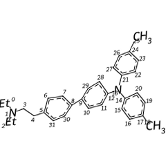 CCN(CC)CCc1ccc(-c2ccc(N(c3ccc(C)cc3)c3ccc(C)cc3)cc2)cc1